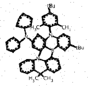 Cc1cc(C(C)(C)C)cc(C)c1N1c2ccc(C(C)(C)C)cc2B2c3cccc4c3N(c3ccccc3C4(C)C)c3cc(N(c4ccccc4)c4ccccc4)cc1c32